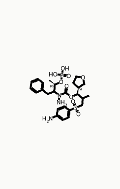 CC(CS(=O)(=O)c1ccc(N)cc1)C(OC(=O)N(N)C(Cc1ccccc1)[C@@H](C)OP(=O)(O)O)[C@H]1CCOC1